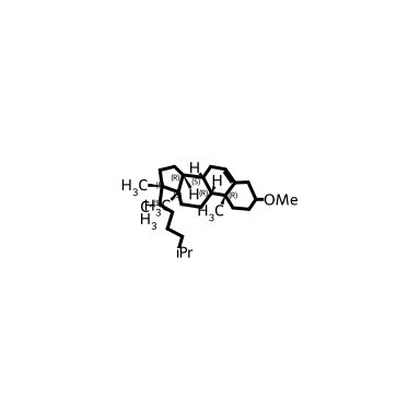 COC1CC[C@@]2(C)C(=CC[C@@H]3[C@H]2CC[C@@]2(C)[C@@H]3CC[C@@]2(C)[C@@H](C)CCCC(C)C)C1